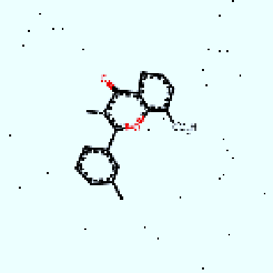 Cc1cccc(-c2oc3c(C(=O)O)cccc3c(=O)c2C)c1